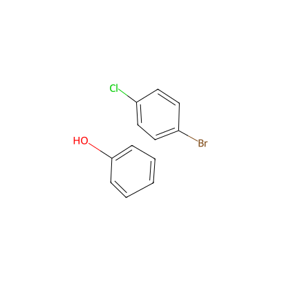 Clc1ccc(Br)cc1.Oc1ccccc1